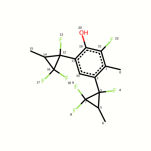 Cc1c(C2(F)C(C)C2(F)F)cc(C2(F)C(C)C2(F)F)c(O)c1F